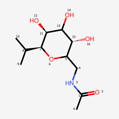 CC(=O)NCC1O[C@@H](C(C)C)[C@@H](O)C(O)[C@@H]1O